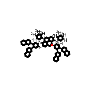 [2H]c1c([2H])c([2H])c(N(c2cc(-c3ccc4ccccc4c3)c(-c3ccc4ccccc4c3)cc2F)c2ccc3ccc4c(N(c5cc(-c6ccc7ccccc7c6)c(-c6ccc7ccccc7c6)cc5F)c5c([2H])c([2H])c([2H])c([2H])c5[2H])ccc5ccc2c3c54)c([2H])c1[2H]